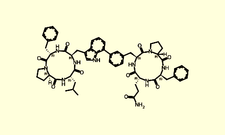 CC(C)C[C@@H]1NC(=O)[C@H]2CCCN2C(=O)[C@H](Cc2ccccc2)NC(=O)[C@@H](Cc2c[nH]c3c(-c4cccc(C[C@@H]5NC(=O)[C@@H](CCC(N)=O)NC(=O)[C@H](Cc6ccccc6)NC(=O)[C@H]6CCCN6C5=O)c4)cccc23)NC1=O